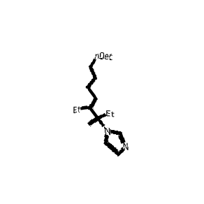 CCCCCCCCCCCCCCC(CC)C(C)(CC)n1ccnc1